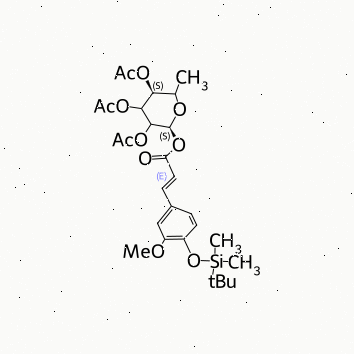 COc1cc(/C=C/C(=O)O[C@@H]2OC(C)[C@H](OC(C)=O)C(OC(C)=O)C2OC(C)=O)ccc1O[Si](C)(C)C(C)(C)C